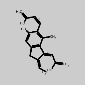 C=C(O)/C=C\c1c(O)cc2c(c1C)C(=C/C(=C)O)/C(=C\C)C2